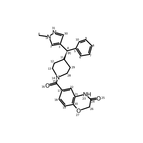 Cn1cc([C@@H](c2ccccc2)C2CCN(C(=O)c3ccc4c(c3)NC(=O)CO4)CC2)cn1